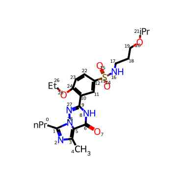 CCCc1nc(C)c2c(=O)[nH]c(-c3cc(S(=O)(=O)NCCCOC(C)C)ccc3OCC)nn12